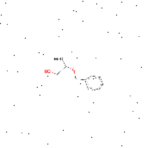 COC(CO)OCc1ccccc1